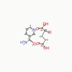 NC(=O)c1cccnc1.O=C(O)CCC(=O)C(=O)O